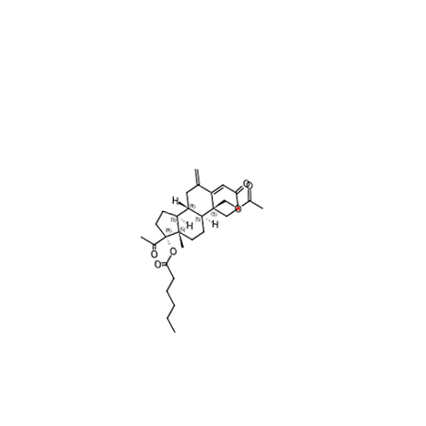 C=C1C[C@@H]2[C@H](CC[C@@]3(C)[C@H]2CC[C@]3(OC(=O)CCCCC)C(C)=O)[C@@]2(COC(C)=O)CCC(=O)C=C12